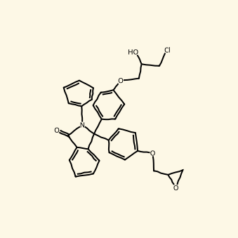 O=C1c2ccccc2C(c2ccc(OCC(O)CCl)cc2)(c2ccc(OCC3CO3)cc2)N1c1ccccc1